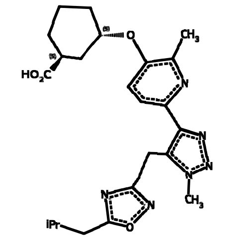 Cc1nc(-c2nnn(C)c2Cc2noc(CC(C)C)n2)ccc1O[C@H]1CCC[C@H](C(=O)O)C1